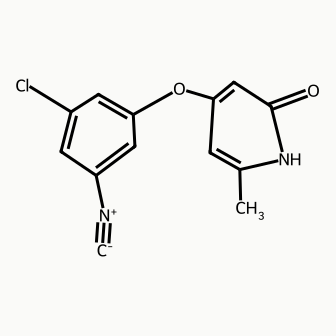 [C-]#[N+]c1cc(Cl)cc(Oc2cc(C)[nH]c(=O)c2)c1